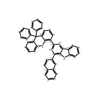 c1ccc(C2(c3ccccc3)c3ccccc3Sc3c(-c4nc(-c5ccc6ccccc6c5)c5sc6ccccc6c5n4)cccc32)cc1